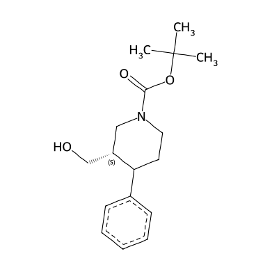 CC(C)(C)OC(=O)N1CCC(c2ccccc2)[C@H](CO)C1